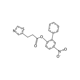 O=C(CCc1cncs1)Oc1ccc([N+](=O)[O-])cc1-c1ccccc1